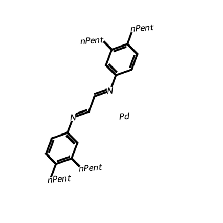 CCCCCc1ccc(N=CC=Nc2ccc(CCCCC)c(CCCCC)c2)cc1CCCCC.[Pd]